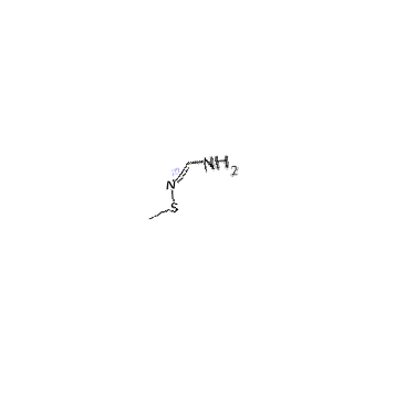 CS/N=C\N